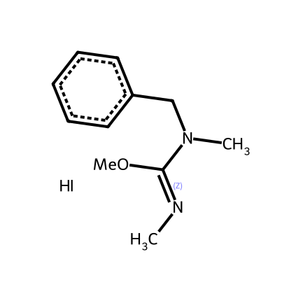 C/N=C(\OC)N(C)Cc1ccccc1.I